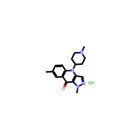 Cc1ccc2c(c1)c(=O)c1c(cnn1C)n2C1CCN(C)CC1.Cl